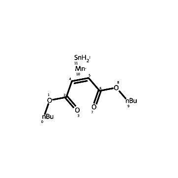 CCCCOC(=O)/C=C\C(=O)OCCCC.[Mn].[SnH2]